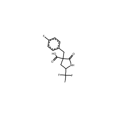 O=C(O)C1(Cc2ccc(F)cc2)CC(C(F)(F)F)NC1=O